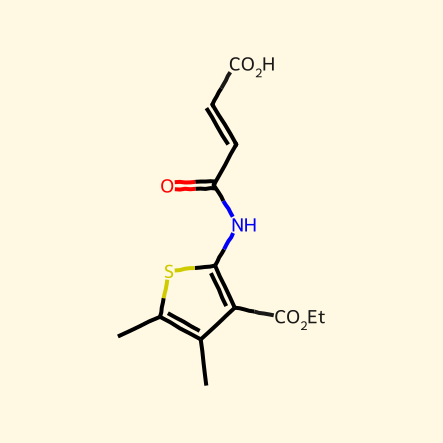 CCOC(=O)c1c(NC(=O)C=CC(=O)O)sc(C)c1C